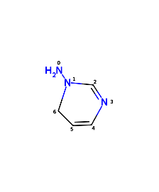 NN1C=NC=CC1